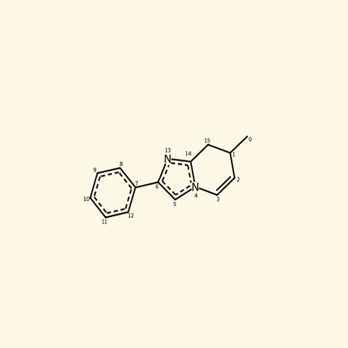 CC1C=Cn2cc(-c3ccccc3)nc2C1